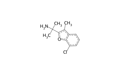 Cc1c(C(C)(C)N)oc2c(Cl)cccc12